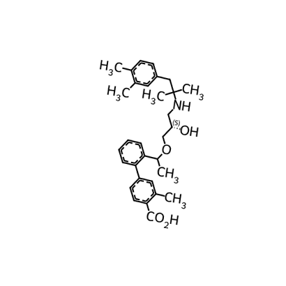 Cc1ccc(CC(C)(C)NC[C@H](O)COC(C)c2ccccc2-c2ccc(C(=O)O)c(C)c2)cc1C